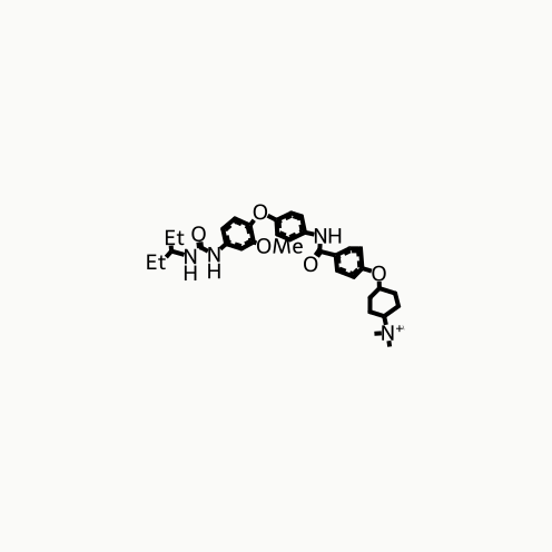 CCC(CC)NC(=O)Nc1ccc(Oc2ccc(NC(=O)c3ccc(OC4CCC([N+](C)(C)C)CC4)cc3)cc2)c(OC)c1